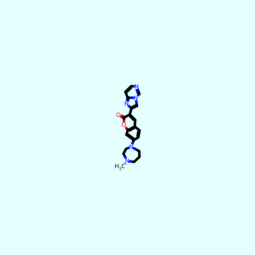 CN1CCCN(c2ccc3cc(-c4cn5cnccc5n4)c(=O)oc3c2)CC1